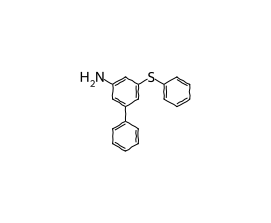 Nc1cc(Sc2ccccc2)cc(-c2ccccc2)c1